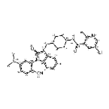 Cc1ncc(Cl)cc1C(=O)NC1CCC(Cn2c(=O)n(-c3cc(N(C)C)ccc3C#N)c3ccccc32)CC1